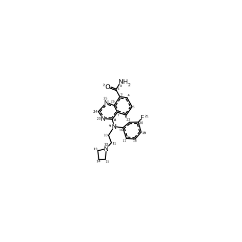 NC(=O)c1cccc2c(N(CCN3CCC3)c3cccc(F)c3)ncnc12